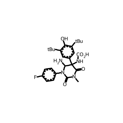 CN1C(=O)N(c2ccc(F)cc2)C(N)C(NC(=O)O)(c2cc(C(C)(C)C)c(O)c(C(C)(C)C)c2)C1=O